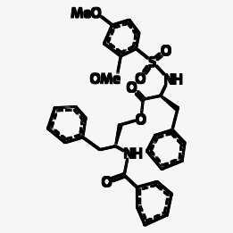 COc1ccc(S(=O)(=O)N[C@@H](Cc2ccccc2)C(=O)OC[C@H](Cc2ccccc2)NC(=O)c2ccccc2)c(OC)c1